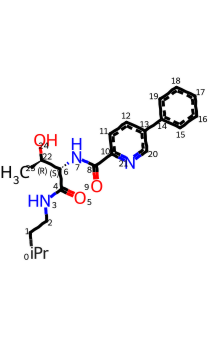 CC(C)CCNC(=O)[C@@H](NC(=O)c1ccc(-c2ccccc2)cn1)[C@@H](C)O